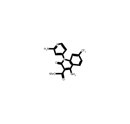 COC(=O)c1c(N)c2ccc(C(F)(F)F)cc2n(-c2ccnc(N)c2)c1=O